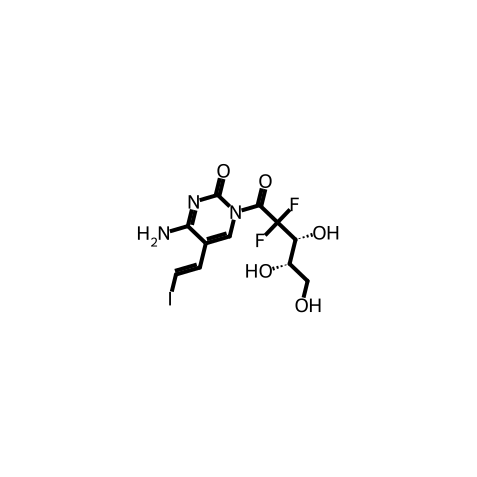 Nc1nc(=O)n(C(=O)C(F)(F)[C@H](O)[C@@H](O)CO)cc1/C=C/I